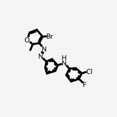 CC1OC=CC(Br)=C1N=Nc1cccc(Nc2ccc(F)c(Cl)c2)c1